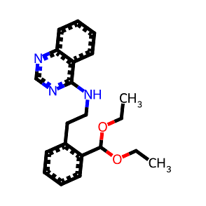 CCOC(OCC)c1ccccc1CCNc1ncnc2ccccc12